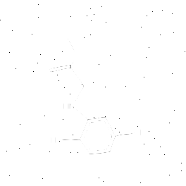 COC(=O)CNc1cc(Cl)ccc1S